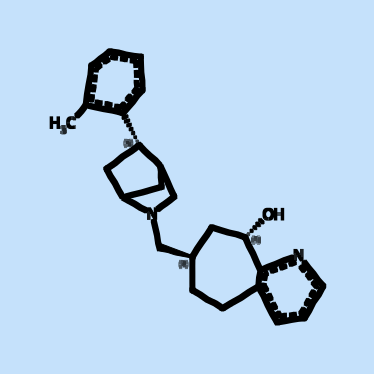 Cc1ccccc1[C@H]1CC2CC1CN2C[C@@H]1CCc2cccnc2[C@@H](O)C1